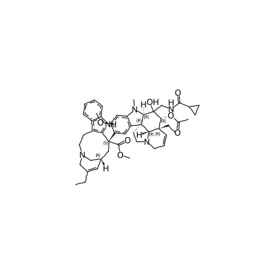 CCC1=C[C@@H]2CN(CCc3c([nH]c4ccccc34)[C@@](C(=O)OC)(c3cc4c(cc3OC)N(C)[C@H]3C(O)(CNC(=O)C5CC5)[C@H](OC(C)=O)[C@]5(CC)C=CCN6CC[C@]43[C@@H]65)C2)C1